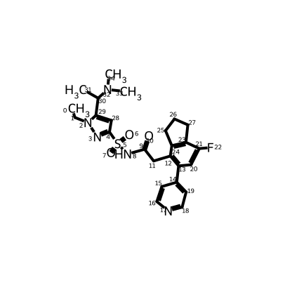 CCn1nc(S(=O)(=O)NC(=O)Cc2c(-c3ccncc3)cc(F)c3c2CCC3)cc1C(C)N(C)C